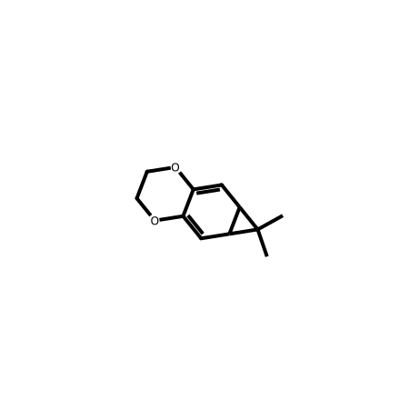 CC1(C)C2C=C3OCCOC3=CC21